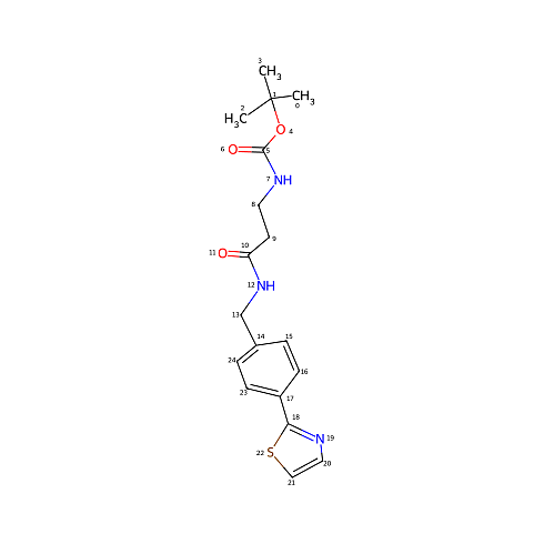 CC(C)(C)OC(=O)NCCC(=O)NCc1ccc(-c2nccs2)cc1